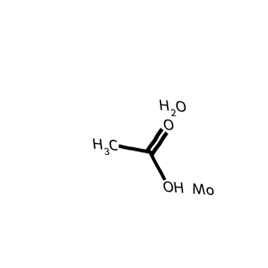 CC(=O)O.O.[Mo]